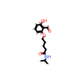 CC(C)NC(=O)CCCCOc1cccc(O)c1C=O